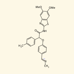 C/N=C/c1ccc(OC(C(=O)Nc2nc3cc(OC)c(OC)cc3s2)c2ccc(C)cc2)cc1